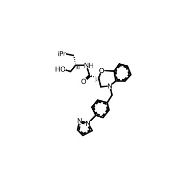 CC(C)C[C@@H](CO)NC(=O)[C@H]1CN(Cc2ccc(-n3cccn3)cc2)c2ccccc2O1